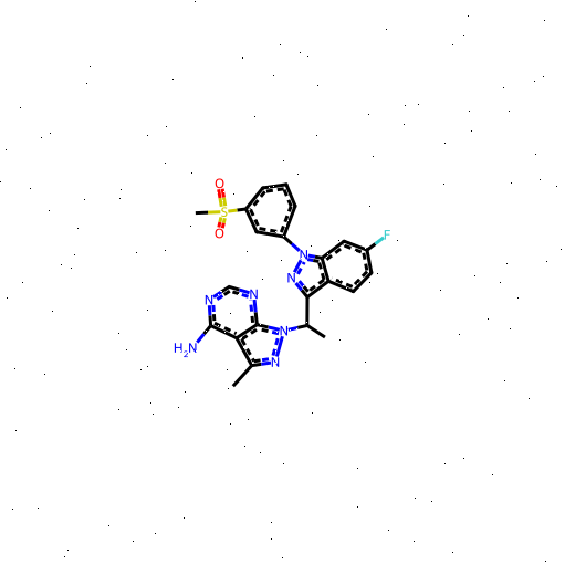 Cc1nn(C(C)c2nn(-c3cccc(S(C)(=O)=O)c3)c3cc(F)ccc23)c2ncnc(N)c12